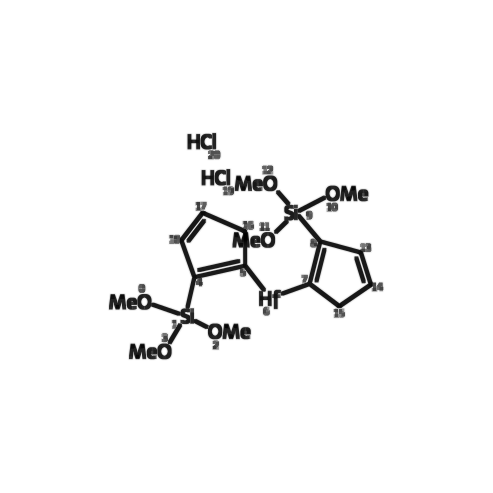 CO[Si](OC)(OC)C1=[C]([Hf][C]2=C([Si](OC)(OC)OC)C=CC2)CC=C1.Cl.Cl